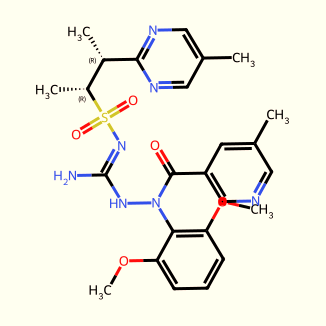 COc1cccc(OC)c1N(NC(N)=NS(=O)(=O)[C@H](C)[C@H](C)c1ncc(C)cn1)C(=O)c1cncc(C)c1